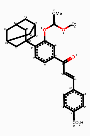 CCOC(OC)Oc1cc(C(=O)C=Cc2ccc(C(=O)O)cc2)ccc1C12CC3CC(CC(C3)C1)C2